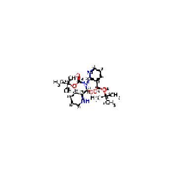 CC(C)(C)OC(=O)c1cccnc1N(C(=O)OC(C)(C)C)C(=O)C1CCCCN1